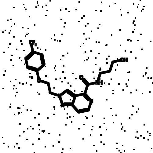 O=C(NCCCO)c1nccc2nn(CCOc3ccc(C(F)(F)F)cc3)cc12